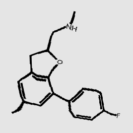 CNCC1Cc2cc(C)cc(-c3ccc(F)cc3)c2O1